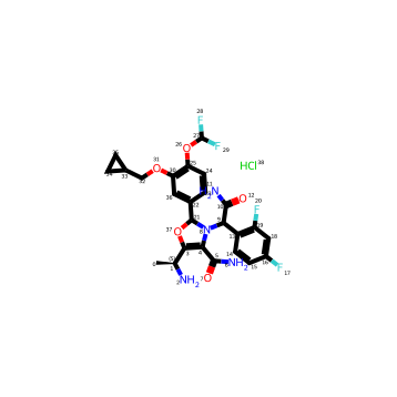 C[C@H](N)C1=C(C(N)=O)N(C(C(N)=O)c2ccc(F)cc2F)C(c2ccc(OC(F)F)c(OCC3CC3)c2)O1.Cl